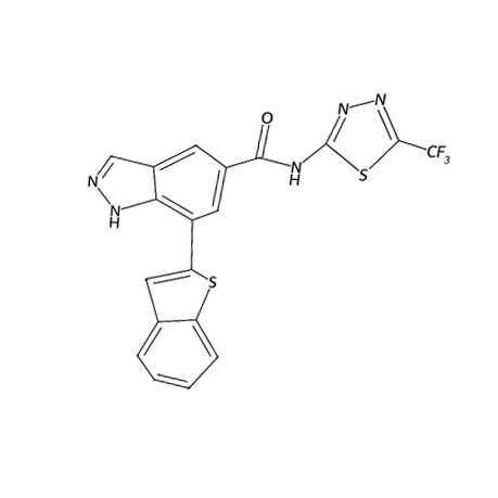 O=C(Nc1nnc(C(F)(F)F)s1)c1cc(-c2cc3ccccc3s2)c2[nH]ncc2c1